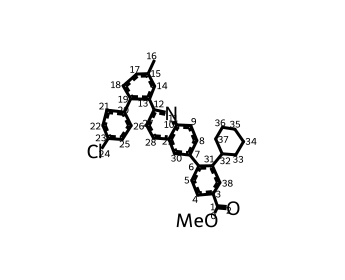 COC(=O)c1ccc(-c2ccc3nc(-c4cc(C)ccc4-c4ccc(Cl)cc4)ccc3c2)c(C2CCCCC2)c1